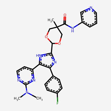 CN(C)c1nccc(-c2[nH]c(C3OCC(C)(C(=O)Nc4cccnc4)CO3)nc2-c2ccc(F)cc2)n1